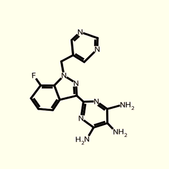 Nc1nc(-c2nn(Cc3cncnc3)c3c(F)cccc23)nc(N)c1N